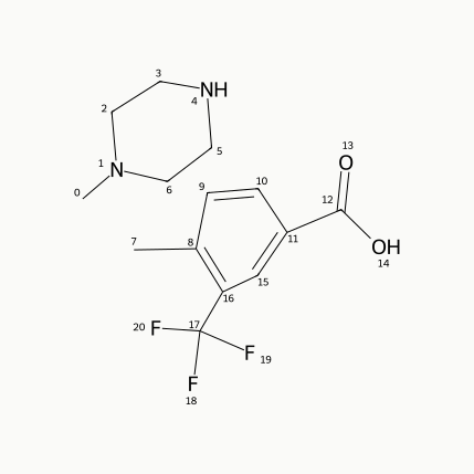 CN1CCNCC1.Cc1ccc(C(=O)O)cc1C(F)(F)F